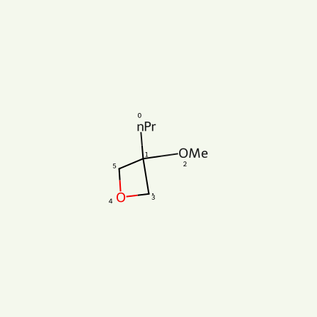 CCCC1(OC)[CH]OC1